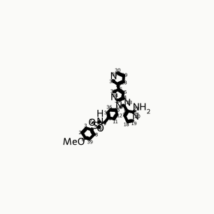 COc1ccc(S(=O)(=O)NCc2ccc(-n3c(-c4cccnc4N)nc4cc(-c5cccnc5)cnc43)cc2)cc1